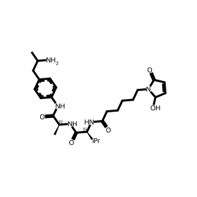 CC(N)Cc1ccc(NC(=O)[C@H](C)NC(=O)[C@@H](NC(=O)CCCCCN2C(=O)C=CC2O)C(C)C)cc1